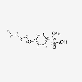 CCCCCOc1ccc(C(OC)C(=O)O)cc1